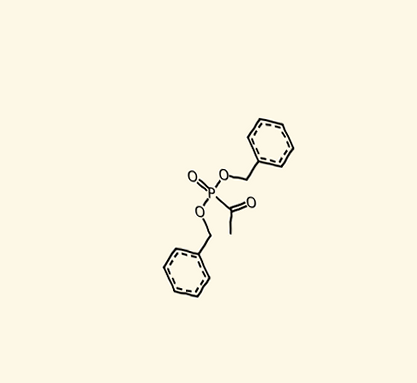 CC(=O)P(=O)(OCc1ccccc1)OCc1ccccc1